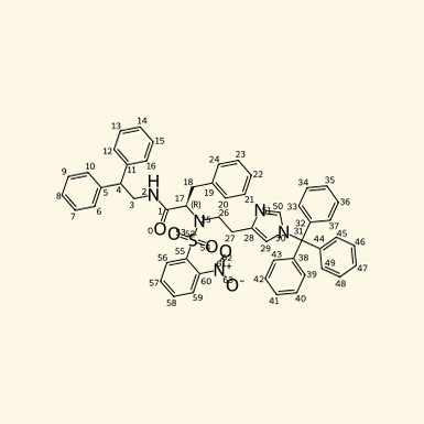 O=C(NCC(c1ccccc1)c1ccccc1)[C@@H](Cc1ccccc1)N(CCc1cn(C(c2ccccc2)(c2ccccc2)c2ccccc2)cn1)S(=O)(=O)c1ccccc1[N+](=O)[O-]